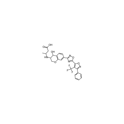 CC(CC(=O)O)NC1COc2cc(-c3noc(-c4onc(-c5ccccc5)c4C(F)(F)F)n3)ccc2C1O